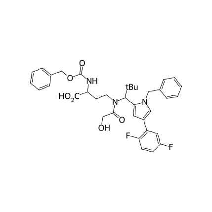 CC(C)(C)C(c1cc(-c2cc(F)ccc2F)cn1Cc1ccccc1)N(CCC(NC(=O)OCc1ccccc1)C(=O)O)C(=O)CO